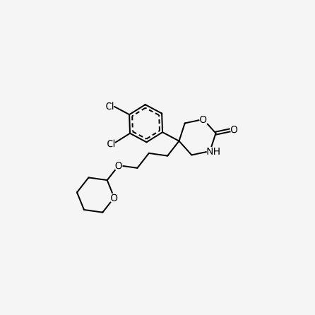 O=C1NCC(CCCOC2CCCCO2)(c2ccc(Cl)c(Cl)c2)CO1